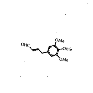 COc1cc(CC=CC=O)cc(OC)c1OC